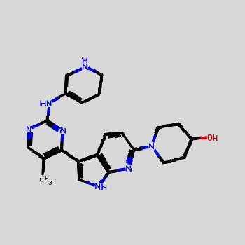 OC1CCN(c2ccc3c(-c4nc(NC5=CCCNC5)ncc4C(F)(F)F)c[nH]c3n2)CC1